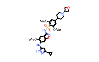 COc1cc2c(NS(=O)(=O)c3c(OC)cc(C4CCN(C5COC5)CC4)cc3OC)noc2cc1Nc1cc(C2CC2)n[nH]1